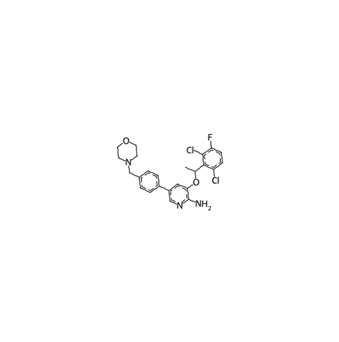 CC(Oc1cc(-c2ccc(CN3CCOCC3)cc2)cnc1N)c1c(Cl)ccc(F)c1Cl